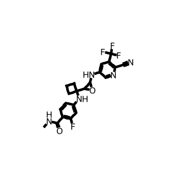 CNC(=O)c1ccc(NC2(C3OC3Nc3cnc(C#N)c(C(F)(F)F)c3)CCC2)cc1F